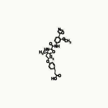 COc1cc(NC(=O)C(=O)NC(C)(C)CCOc2ccc(CCC(=O)O)cc2)ccc1-c1cnco1